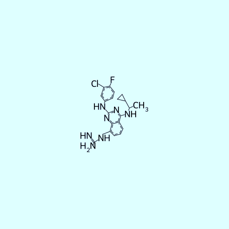 CC(Nc1nc(Nc2ccc(F)c(Cl)c2)nc2c(CNC(=N)N)cccc12)C1CC1